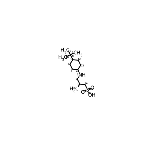 CC(CNC1CCC(C(C)(C)C)CC1)CS(=O)(=O)O